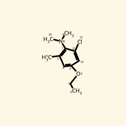 CCOc1cc(C)c(N(C)C)c(Cl)c1